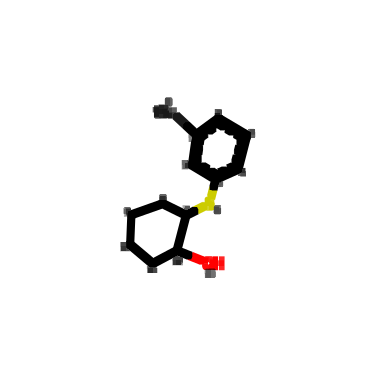 CC(C)(C)c1cccc(SC2CCCCC2O)c1